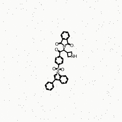 O=C(c1ccc(S(=O)(=O)n2cc(-c3ccccc3)c3ccccc32)cc1)C(C1CNC1)N1C(=O)c2ccccc2C1=O